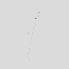 CCCCCCCCCCCCCCCCOC(=O)CNC.[Na]